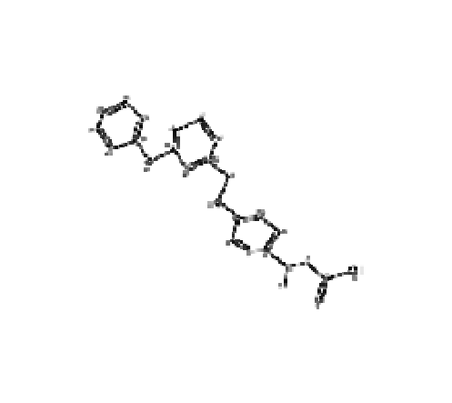 CC(CC(=O)O)c1ccc(OCc2cccc(Oc3ccccc3)c2)cc1